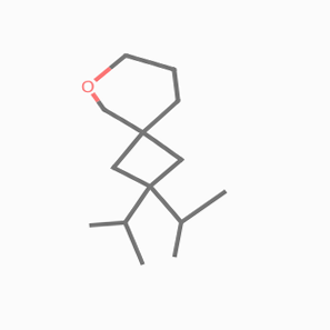 CC(C)C1(C(C)C)CC2(CCCOC2)C1